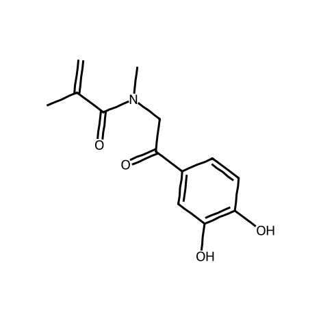 C=C(C)C(=O)N(C)CC(=O)c1ccc(O)c(O)c1